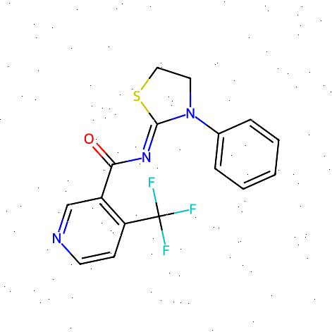 O=C(/N=C1\SCCN1c1ccccc1)c1cnccc1C(F)(F)F